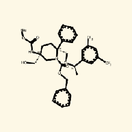 C[C@@H](OC[C@@]1(c2ccccc2)CC[C@](CO)(NC(=O)OC(C)(C)C)CN1C(=O)OCc1ccccc1)c1cc(C(F)(F)F)cc(C(F)(F)F)c1